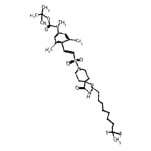 Cc1cc(N(C)C(=O)OC(C)(C)C)cc(C)c1/C=C/S(=O)(=O)N1CCC2(CC1)N=C(CCCCCCCC(C)(F)F)NC2=O